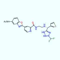 CC(=O)Nc1ccc2oc(-c3ccnc(C(=O)NCCN[C@@H](C4=NN(C(F)F)NN4)c4ccsc4)c3)nc2c1